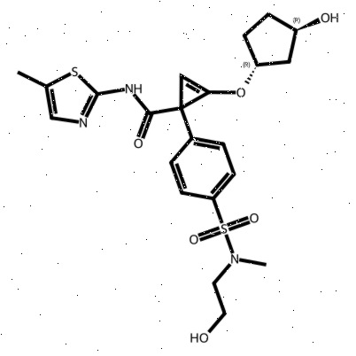 Cc1cnc(NC(=O)C2(c3ccc(S(=O)(=O)N(C)CCO)cc3)C=C2O[C@@H]2CC[C@@H](O)C2)s1